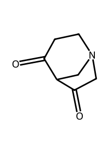 O=C1CCN2CC(=O)C1C2